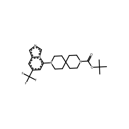 CC(C)(C)OC(=O)N1CCC2(CC1)CCN(c1cc(C(F)(F)F)cc3cncn13)CC2